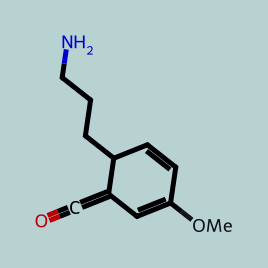 COC1=CC(=C=O)C(CCCN)C=C1